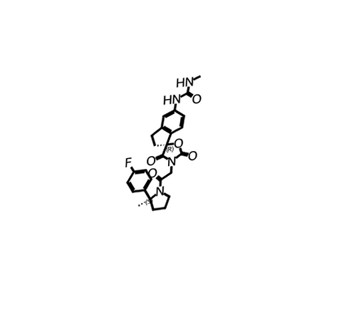 CNC(=O)Nc1ccc2c(c1)CC[C@@]21OC(=O)N(CC(=O)N2CCC[C@@]2(C)c2ccc(F)cc2)C1=O